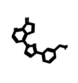 FCc1cccc(-c2ccn(-c3ccnc4[nH]ccc34)n2)c1